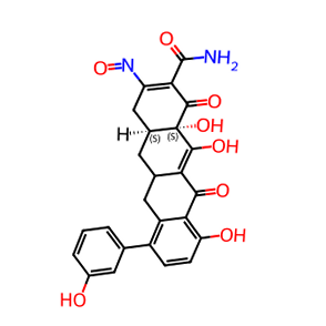 NC(=O)C1=C(N=O)C[C@@H]2CC3Cc4c(-c5cccc(O)c5)ccc(O)c4C(=O)C3=C(O)[C@]2(O)C1=O